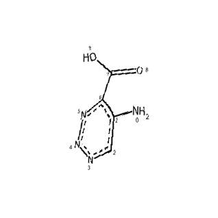 Nc1cnnnc1C(=O)O